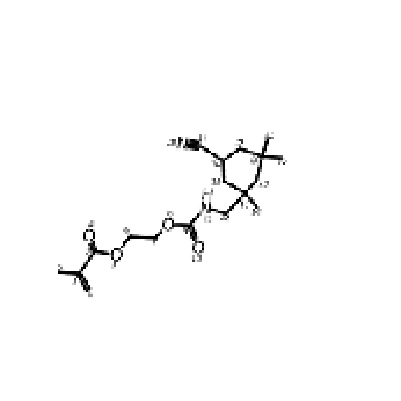 C=C(C)C(=O)OCCOC(=O)NCC1(C)CC(C#N)CC(C)(C)C1